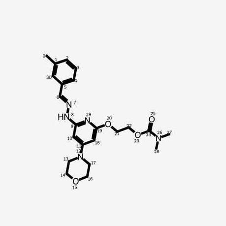 Cc1cccc(/C=N/Nc2cc(N3CCOCC3)cc(OCCOC(=O)N(C)C)n2)c1